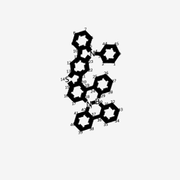 c1ccc(-n2c3ccccc3c3cc4sc5ccc6c(c5c4cc32)-c2ccccc2B2c3ccccc3-c3ccccc3N26)cc1